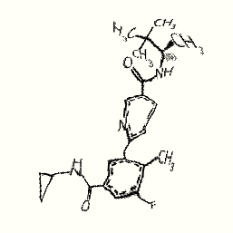 Cc1c(F)cc(C(=O)NC2CC2)cc1-c1ccc(C(=O)N[C@H](C)C(C)(C)C)cn1